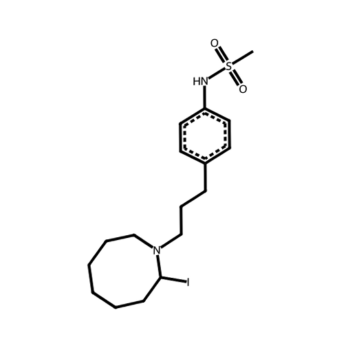 CS(=O)(=O)Nc1ccc(CCCN2CCCCCCC2I)cc1